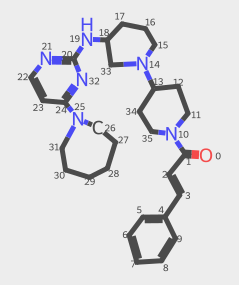 O=C(C=Cc1ccccc1)N1CCC(N2CCCC(Nc3nccc(N4CCCCCC4)n3)C2)CC1